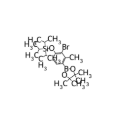 Cc1c(B2OC(C)(C)C(C)(C)O2)ccc(O[Si](C(C)C)(C(C)C)C(C)C)c1Br